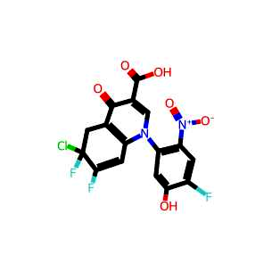 O=C(O)c1cn(-c2cc(O)c(F)cc2[N+](=O)[O-])c2c(c1=O)CC(F)(Cl)C(F)=C2